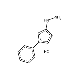 Cl.NNc1cn(-c2ccccc2)cn1